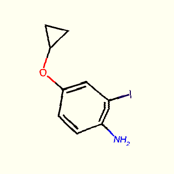 Nc1ccc(OC2CC2)cc1I